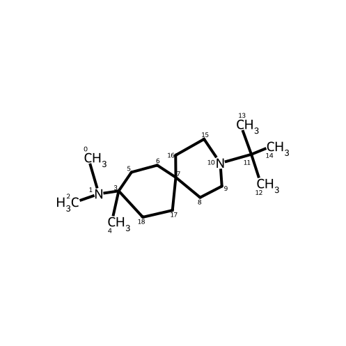 CN(C)C1(C)CCC2(CCN(C(C)(C)C)CC2)CC1